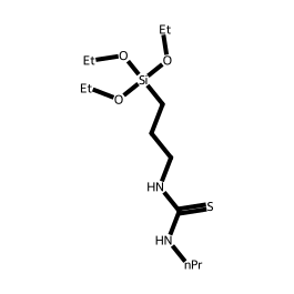 CCCNC(=S)NCCC[Si](OCC)(OCC)OCC